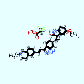 COc1ccc2c(c1)[C@]1(C[C@H]1c1ccc3c(/C=C/c4ccc5c(c4)CCN(C)C5)n[nH]c3c1)C(=O)N2.O=C(O)C(F)(F)F